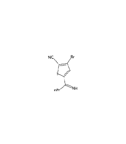 CCCC(=N)c1cc(Br)c(C#N)s1